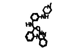 CN1CCC(Nc2cccc(NC(=O)c3ccccc3-n3nnc4ccccc43)c2)CC1